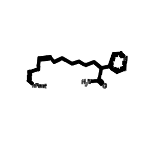 CCCCC/C=C\C/C=C\CCCCCCC(C(N)=O)c1ccncc1